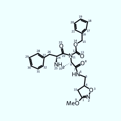 COC1=NOC(CNC(=O)[C@H](C)N(C(=O)OCc2ccccc2)C(=O)[C@@H](N)Cc2ccccc2)C1